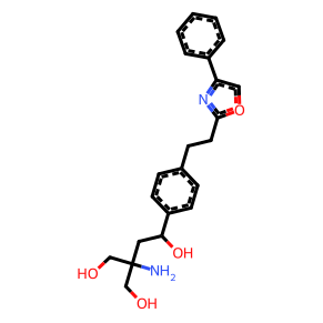 NC(CO)(CO)CC(O)c1ccc(CCc2nc(-c3ccccc3)co2)cc1